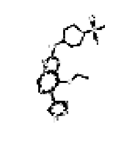 CCOc1c(-c2cn[nH]c2)ncn2nc(NC3CCN(S(C)(=O)=O)CC3)nc12